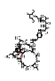 CC[C@H](C)C1NC(=O)CNC(=O)[C@H]2Cc3c([nH]c4ccccc34)SC[C@H](NC(=O)CNC1=O)C(=O)N[C@@H](CC(=O)NCc1ccc(NC(=O)[C@H](C)NC(=O)[C@@H](NC(=O)CCN3C(=O)CC(S)C3=O)C(C)C)cc1)C(=O)N1C[C@H](O)C[C@H]1C(=O)NC([C@@H](C)[C@@H](O)CO)C(=O)N2